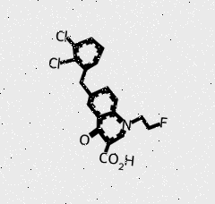 O=C(O)c1cn(CCF)c2ccc(Cc3cccc(Cl)c3Cl)cc2c1=O